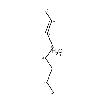 CC=CCCCCC.O